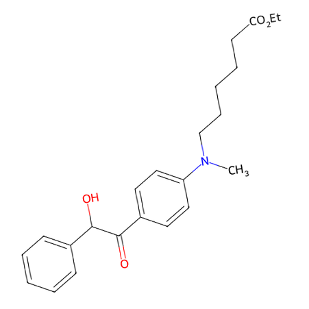 CCOC(=O)CCCCCN(C)c1ccc(C(=O)C(O)c2ccccc2)cc1